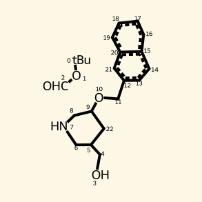 CC(C)(C)OC=O.OCC1CNCC(OCc2ccc3ccccc3c2)C1